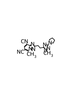 Cc1c(C#N)cc(C#N)c2nc(CCc3nc(N4CCCC4)nn3C)nn12